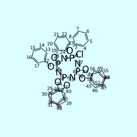 ClP1(Oc2ccccc2)=NP(Oc2ccccc2)(Oc2ccccc2)=NP(Oc2ccccc2)(Oc2ccccc2)=NP(Oc2ccccc2)(Oc2ccccc2)=N1